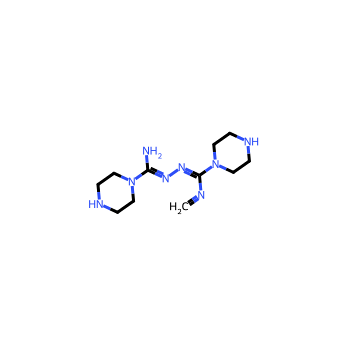 C=N/C(=N\N=C(/N)N1CCNCC1)N1CCNCC1